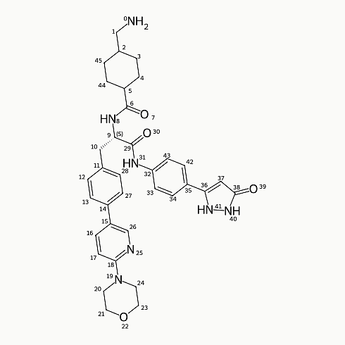 NCC1CCC(C(=O)N[C@@H](Cc2ccc(-c3ccc(N4CCOCC4)nc3)cc2)C(=O)Nc2ccc(-c3cc(=O)[nH][nH]3)cc2)CC1